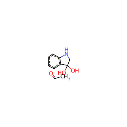 CC=O.OC1(O)CNc2ccccc21